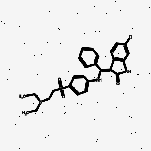 CCN(CC)CCS(=O)(=O)c1ccc(N/C(=C2\C(=O)Nc3cc(Cl)ccc32)c2ccccc2)cc1